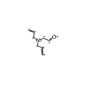 C=CCN(C[C]=O)CC=C